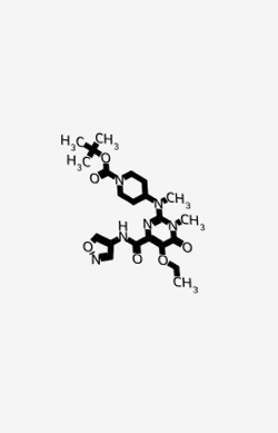 CCOc1c(C(=O)Nc2cnoc2)nc(N(C)C2CCN(C(=O)OC(C)(C)C)CC2)n(C)c1=O